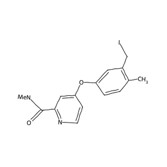 CNC(=O)c1cc(Oc2ccc(C)c(CI)c2)ccn1